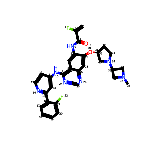 C=C(F)C(=O)Nc1cc2c(Nc3ccnc(-c4ccccc4F)c3)ncnc2cc1O[C@@H]1CCN(C2CN(C)C2)C1